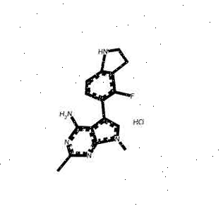 Cc1nc(N)c2c(-c3ccc4c(c3F)CCN4)cn(C)c2n1.Cl